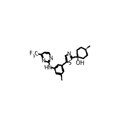 Cc1cc(Nc2nccc(C(F)(F)F)n2)cc(-c2cnc([C@]3(O)CC[C@@H](C)CC3)s2)c1